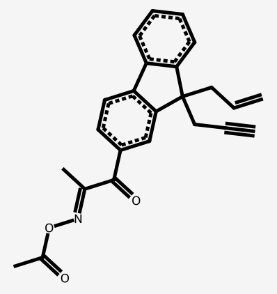 C#CCC1(CC=C)c2ccccc2-c2ccc(C(=O)/C(C)=N/OC(C)=O)cc21